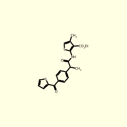 CCOC(=O)c1c(C)csc1NC(=O)C(C)c1ccc(C(=O)c2cccs2)cc1